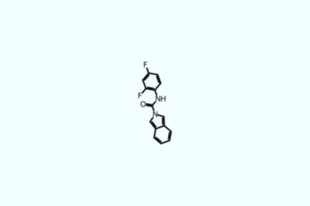 O=C(Nc1ccc(F)cc1F)n1cc2ccccc2c1